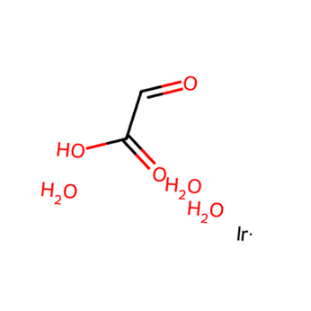 O.O.O.O=CC(=O)O.[Ir]